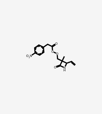 C=CC1NC(=O)C1(C)COOC(=O)Cc1ccc([N+](=O)[O-])cc1